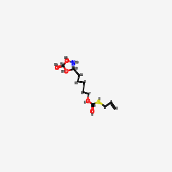 C=CCSC(=O)OCCCCCc1noc(=O)o1